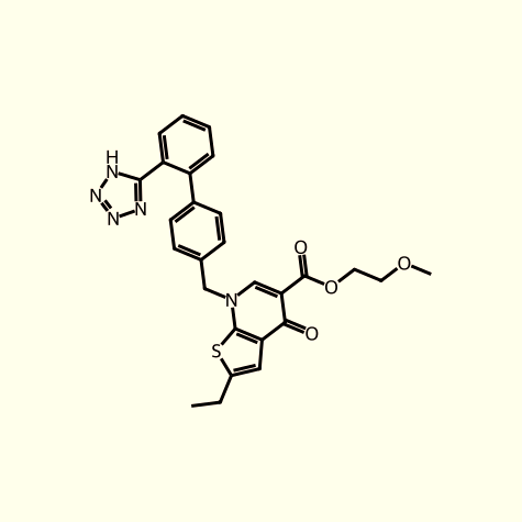 CCc1cc2c(=O)c(C(=O)OCCOC)cn(Cc3ccc(-c4ccccc4-c4nnn[nH]4)cc3)c2s1